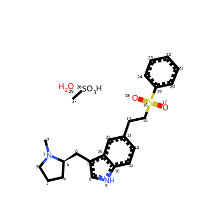 CN1CCC[C@@H]1Cc1c[nH]c2ccc(CCS(=O)(=O)c3ccccc3)cc12.CS(=O)(=O)O.O